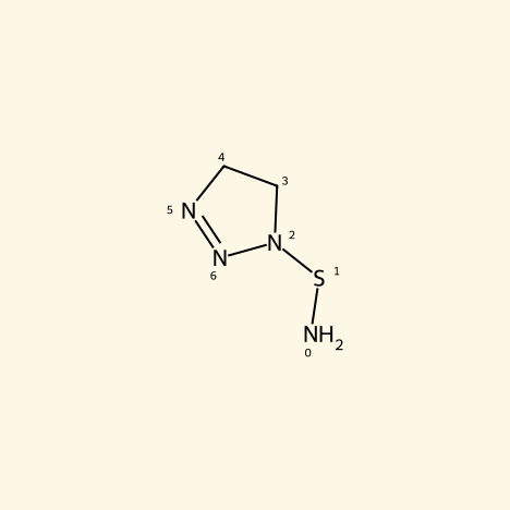 NSN1CCN=N1